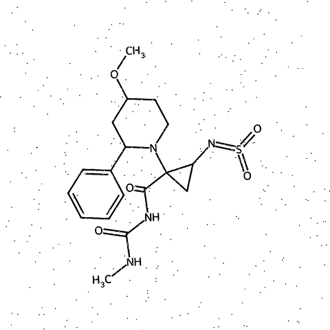 CNC(=O)NC(=O)C1(N2CCC(OC)CC2c2ccccc2)CC1N=S(=O)=O